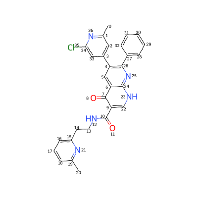 Cc1cc(-c2cc3c(=O)c(C(=O)NCCc4cccc(C)n4)c[nH]c3nc2-c2ccccc2)cc(Cl)n1